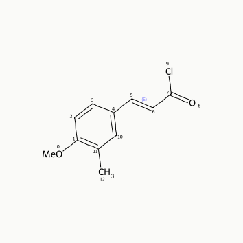 COc1ccc(/C=C/C(=O)Cl)cc1C